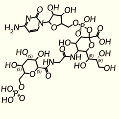 Nc1ccn(C2OC(COP(=O)(O)OC3(C(=O)O)CC(O)C(NC(=O)CNC(=O)[C@H]4OC(COP(=O)(O)O)[C@@H](O)[C@H](O)C4O)C([C@H](O)[C@H](O)CO)O3)C(O)C2O)c(=O)n1